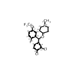 CN1CCC(OC(c2ccc(Cl)c(Cl)c2)c2cc(OC(F)(F)F)ccc2F)CC1